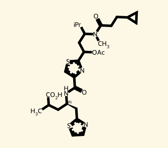 CC(=O)OC(CC(C(C)C)N(C)C(=O)CCC1CC1)c1nc(C(=O)N[C@@H](Cc2nccs2)CC(C)C(=O)O)cs1